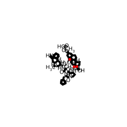 C#C[C@]1(O)CC[C@H]2[C@@H]3CCC4=CC(=O)CC[C@@H]4[C@H]3C(=C)C[C@@]21CC.CN1C[C@H](C(=O)N[C@]2(C)O[C@@]3(O)[C@@H]4CCCN4C(=O)[C@H](Cc4ccccc4)N3C2=O)C[C@@H]2c3cccc4[nH]cc(c34)C[C@H]21.CS(=O)(=O)O